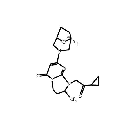 O=C(CN1c2nc(N3CC4CC[C@@H](C3)O4)cc(=O)n2CCC1C(F)(F)F)C1CC1